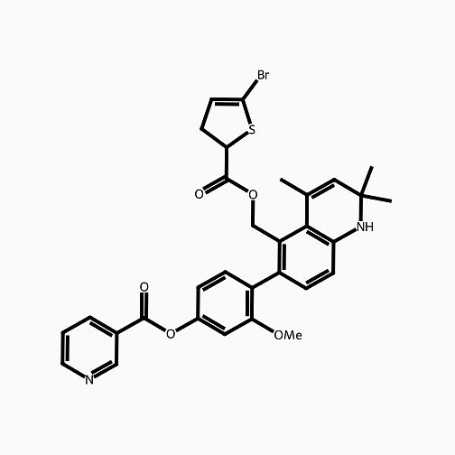 COc1cc(OC(=O)c2cccnc2)ccc1-c1ccc2c(c1COC(=O)C1CC=C(Br)S1)C(C)=CC(C)(C)N2